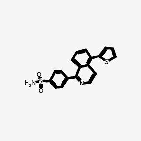 NS(=O)(=O)c1ccc(-c2nccc3c(-c4cccs4)cccc23)cc1